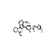 C=CC(=O)N1CCCCC1c1nc(C2=CC(C)C(C(=O)Nc3ncc(CC)s3)C=C2)c2c(N)nccn12